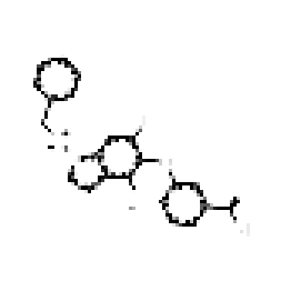 CSc1c(Oc2cccc(C(N)=S)c2)c(F)cc2c1ccn2S(=O)(=O)Cc1ccccc1